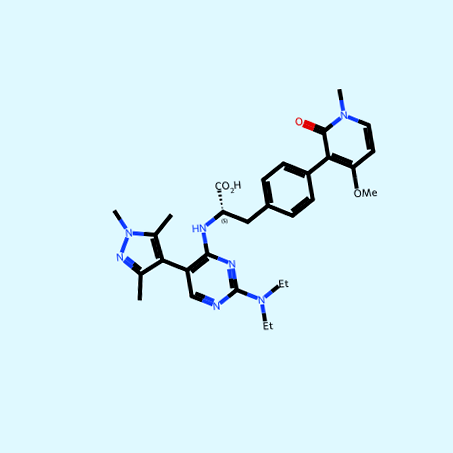 CCN(CC)c1ncc(-c2c(C)nn(C)c2C)c(N[C@@H](Cc2ccc(-c3c(OC)ccn(C)c3=O)cc2)C(=O)O)n1